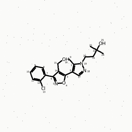 Cc1c(-c2onc(-c3ccccc3Cl)c2CO)cnn1CCC(C)(C)O